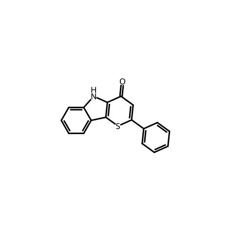 O=c1cc(-c2ccccc2)sc2c1[nH]c1ccccc12